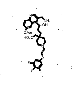 COc1ccc2ncc(CN)c([C@H](O)CCC3(CC(=O)O)CCN(CCSc4cc(F)c(F)c(F)c4)CC3)c2c1